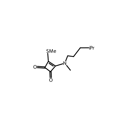 CSc1c(N(C)CCCC(C)C)c(=O)c1=O